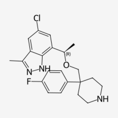 Cc1n[nH]c2c([C@@H](C)OCC3(c4ccc(F)cc4)CCNCC3)cc(Cl)cc12